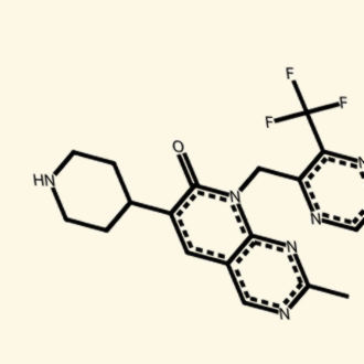 Cc1ncc2cc(C3CCNCC3)c(=O)n(Cc3nccnc3C(F)(F)F)c2n1